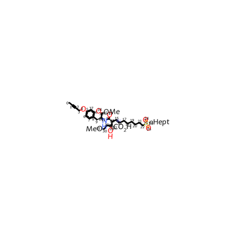 CC#CCOc1ccc(C[C@H](NC(=O)[C@@H](/C=C/CCCCCCS(=O)(=O)CCCCCCC)[C@@](O)(CCOC)C(=O)O)C(=O)OC)cc1